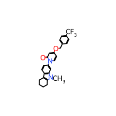 Cn1c2c(c3ccc(-n4ccc(OCc5ccc(C(F)(F)F)cc5)cc4=O)cc31)CCCC2